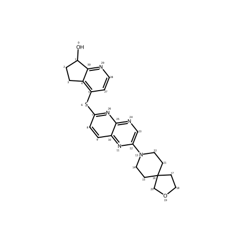 OC1CCc2c(Sc3ccc4nc(N5CCC6(CCOC6)CC5)cnc4n3)ccnc21